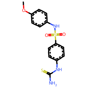 COc1ccc(NS(=O)(=O)c2ccc(NC(N)=S)cc2)cc1